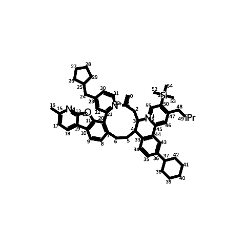 C=C1CC2C(CCc3ccc4c(oc5nc(C)ccc54)c3-c3cc(CC4CCCC4)cc[n+]31)c1ccc(C3CCCCC3)cc1-c1cc(CC(C)C)c([Si](C)(C)C)c[n+]12